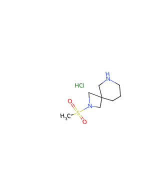 CS(=O)(=O)N1CC2(CCCNC2)C1.Cl